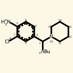 CCCCC(c1ccc(N)c(Cl)c1)N1CCCCC1